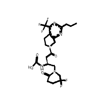 CCCc1nc2c(c(C(F)(F)F)n1)CCN(C(=O)C[C@@H](CN1CC(F)(F)CCC1=O)NC(=O)O)C2